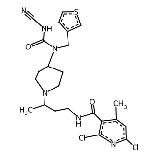 Cc1cc(Cl)nc(Cl)c1C(=O)NCCC(C)N1CCC(N(Cc2ccsc2)C(=O)NC#N)CC1